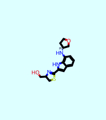 OCC1CSC(c2cc3cccc(N[C@@H]4CCOC4)c3[nH]2)=N1